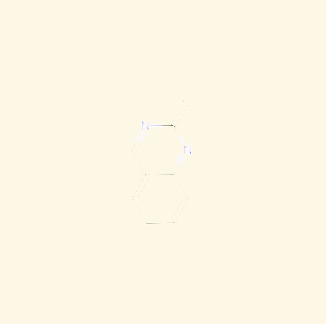 O=C1N=CC2=CCC=CC2=N1